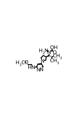 COCCNc1cc(N2CCC([C@@H]([C](C)C)N(N)C(=O)O)C2)cnn1